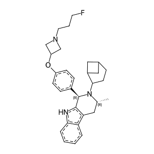 C[C@@H]1Cc2c([nH]c3ccccc23)[C@@H](c2ccc(OC3CN(CCCF)C3)cc2)N1C1CCC2CC1C2